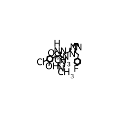 CN1CCN(c2nc(-c3cn4ccnc4c(Cc4ccc(F)cc4)n3)nc3c2[C@@](C)(c2ccc(Cl)c(O)c2)C(=O)N3)CC1